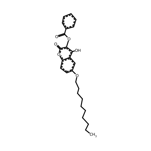 CCCCCCCCCCOc1ccc2oc(=O)c(OC(=O)c3ccccc3)c(O)c2c1